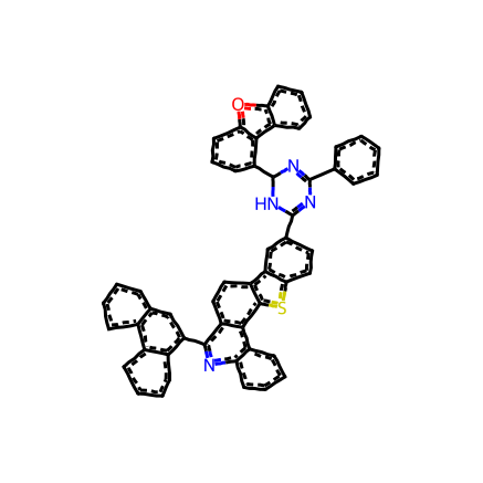 c1ccc(C2=NC(c3cccc4oc5ccccc5c34)NC(c3ccc4sc5c(ccc6c(-c7cc8ccccc8c8ccccc78)nc7ccccc7c65)c4c3)=N2)cc1